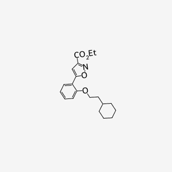 CCOC(=O)c1cc(-c2ccccc2OCCC2CCCCC2)on1